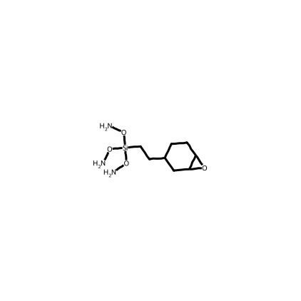 NO[Si](CCC1CCC2OC2C1)(ON)ON